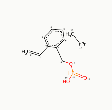 C=Cc1ccccc1CO[PH](=O)O.CCCC